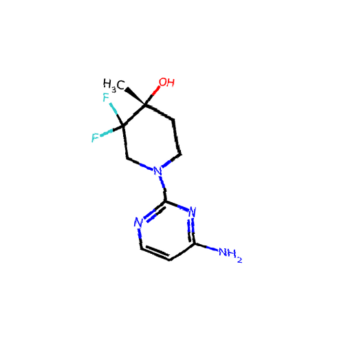 C[C@@]1(O)CCN(c2nccc(N)n2)CC1(F)F